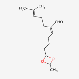 CC(C)=CCCC(C=O)=CCCCC1OC(C)O1